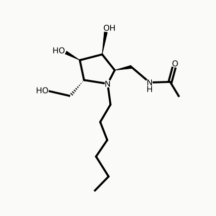 CCCCCCN1[C@H](CNC(C)=O)[C@H](O)[C@H](O)[C@H]1CO